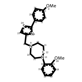 COc1ccc(-c2nc(CN3CCCN(c4ccccc4OC)CC3)cs2)cc1